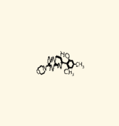 Cc1cc(C)c(-c2ccn3nc(N4CCOCC4)nc3n2)c(O)c1